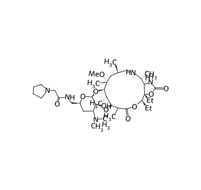 CC[C@H]1OC(=O)C(C)C(=O)[C@H](C)[C@@H](O[C@@H]2O[C@H](CNC(=O)CN3CCCC3)CC(N(C)C)C2O)[C@](C)(OC)C[C@@H](C)CN[C@H](C)[C@H]2NC(=O)O[C@@]21CC